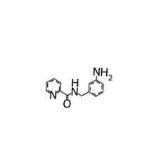 Nc1cccc(CNC(=O)c2ccccn2)c1